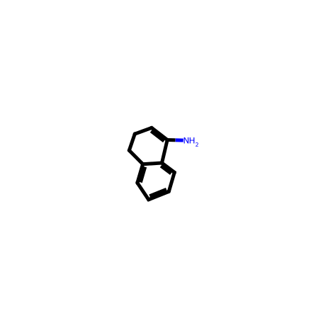 NC1=CCCc2ccccc21